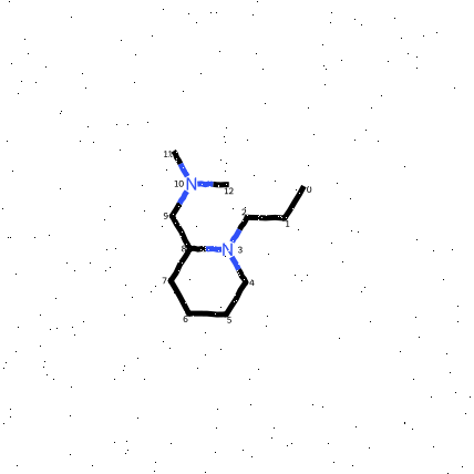 CCCN1CCCCC1CN(C)C